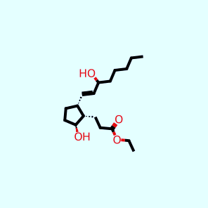 CCCCCC(O)C=C[C@H]1CC[C@H](O)[C@H]1CCC(=O)OCC